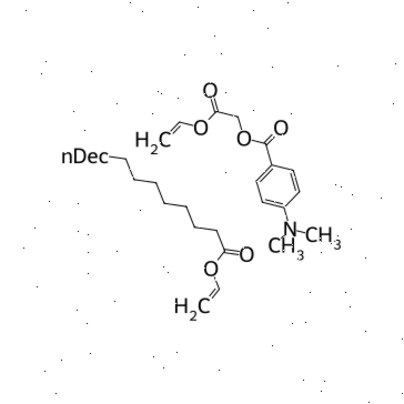 C=COC(=O)CCCCCCCCCCCCCCCCC.C=COC(=O)COC(=O)c1ccc(N(C)C)cc1